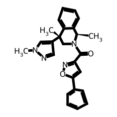 C[C@@H]1c2ccccc2[C@@](C)(c2cnn(C)c2)CN1C(=O)c1cc(-c2ccccc2)on1